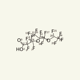 O=C(O)C(F)(F)C(F)(F)OC(F)(C(F)(F)F)C(F)(F)OC(F)C(F)(F)F